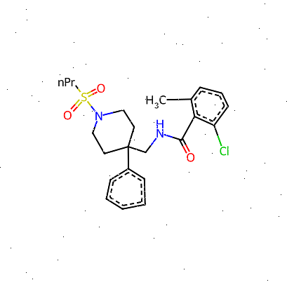 CCCS(=O)(=O)N1CCC(CNC(=O)c2c(C)cccc2Cl)(c2ccccc2)CC1